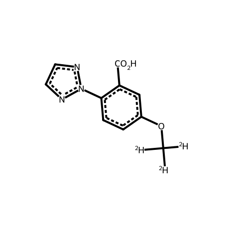 [2H]C([2H])([2H])Oc1ccc(-n2nccn2)c(C(=O)O)c1